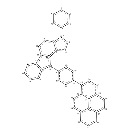 c1ccc(-n2ccc3c2ccc2c4ccccc4n(-c4ccc(-c5ccc6ccc7cccc8ccc5c6c78)cc4)c23)cc1